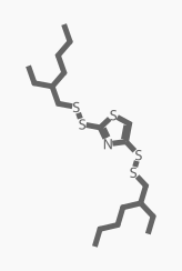 CCCCC(CC)CSSc1csc(SSCC(CC)CCCC)n1